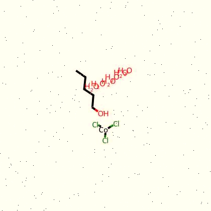 CCCCCO.O.O.O.O.O.O.[Cl][Co]([Cl])[Cl]